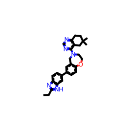 CCc1nc2ccc(-c3ccc4c(c3)CN(c3ncnc5c3CC(C)(C)CC5)CCO4)cc2[nH]1